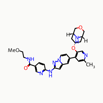 COCCNC(=O)c1ccc(Nc2cc3cc(-c4cc(C)ncc4O[C@H]4C[C@H]5COC[C@@H](C4)N5)ccn3n2)nc1